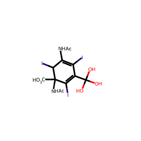 CC(=O)NC1=C(I)C(C(O)(O)O)=C(I)C(NC(C)=O)(C(=O)O)C1I